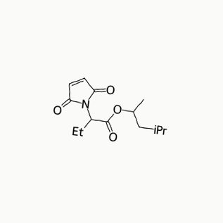 CCC(C(=O)OC(C)CC(C)C)N1C(=O)C=CC1=O